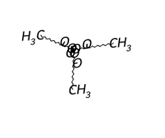 CCCCCCCCCCC(=O)CCCOP(=O)(OCCCC(=O)CCCCCCCCCC)OCCCC(=O)CCCCCCCCCC